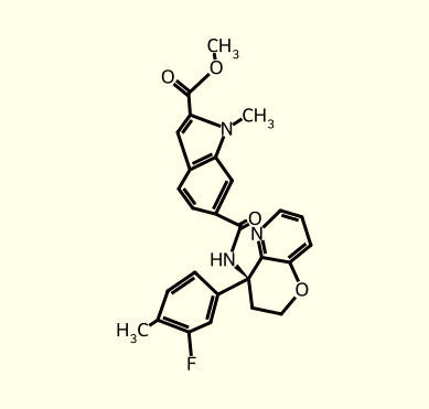 COC(=O)c1cc2ccc(C(=O)N[C@]3(c4ccc(C)c(F)c4)CCOc4cccnc43)cc2n1C